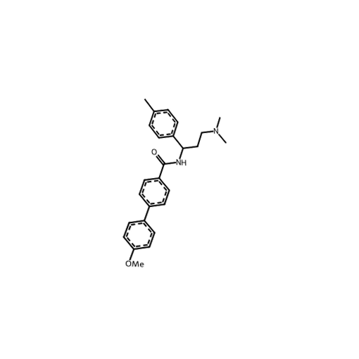 COc1ccc(-c2ccc(C(=O)NC(CCN(C)C)c3ccc(C)cc3)cc2)cc1